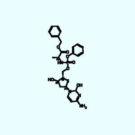 C[C@H](NP(=O)(OC[C@H]1S[C@@H](N2C=CC(N)=NC2O)C[C@H]1O)Oc1ccccc1)C(=O)OCc1ccccc1